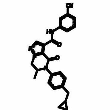 CC1Cn2ncc(C(=O)Nc3cccc(C#N)c3)c2C(=O)N1c1ccc(CC2CC2)cc1